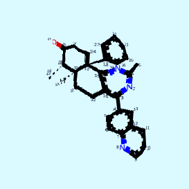 Cc1nc(-c2ccc3ncccc3c2)c2c(n1)[C@@]1(c3ccccc3)CCC(=O)[C@@H](C)[C@@H]1CC2